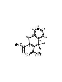 CC(C)NC1=C(C(=O)C(C)C)C(C)(C)c2ccccc2C1